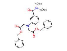 CCCCCCCCCCN(CCCCCCCCCC)C(=O)c1cccc(N(CC(=O)OCc2ccccc2)CC(=O)OCc2ccccc2)c1